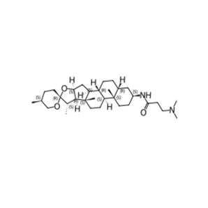 C[C@H]1CC[C@@]2(OC1)O[C@H]1C[C@H]3[C@@H]4CC[C@@H]5C[C@@H](NC(=O)CCN(C)C)CC[C@]5(C)[C@H]4CC[C@]3(C)[C@H]1[C@@H]2C